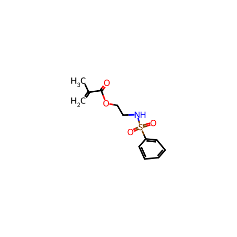 C=C(C)C(=O)OCCNS(=O)(=O)c1ccccc1